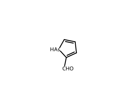 O=CC1=CC=C[AsH]1